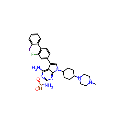 CN1CCN(C2CCC(n3cc(-c4ccc(-c5ccccc5I)c(F)c4)c4c(N)ncnc43)CC2)CC1.N[SH](=O)=O